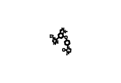 CCn1cnnc1-c1cc(Oc2ccc(N3CCN(C)C3=O)cc2)c2c(cnn2C)c1